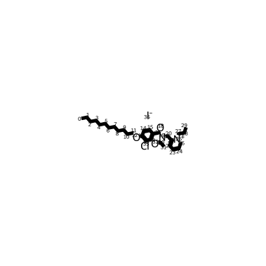 CCCCCCCCCCCCOc1ccc(C(=O)N(Cc2cccc[n+]2CCC)C(C)=O)cc1Cl.[I-]